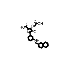 O=C(O)COc1c(C(=O)O)sc(-c2cccc(NCc3ccc4ccccc4c3)c2)c1Cl